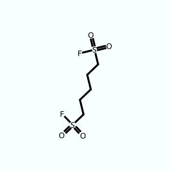 O=S(=O)(F)CCCCCS(=O)(=O)F